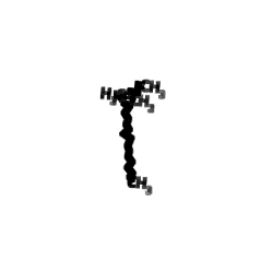 CCCCCCCCCCCCCCCC[PH](C)(C)CCCC